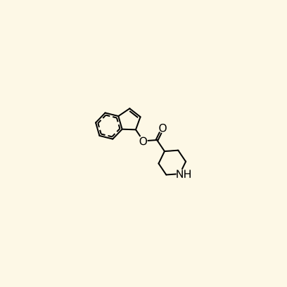 O=C(OC1C=Cc2ccccc21)C1CCNCC1